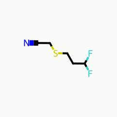 N#CCSCCC(F)F